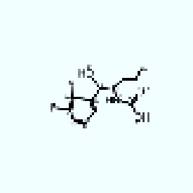 CCCC(NC(=O)O)C(O)c1cccc(F)c1C